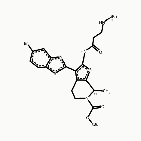 CC[C@H](C)NCCC(=O)Nc1sc2c(c1-c1nc3cc(Br)ccc3s1)CCN(C(=O)OC(C)(C)C)[C@@H]2C